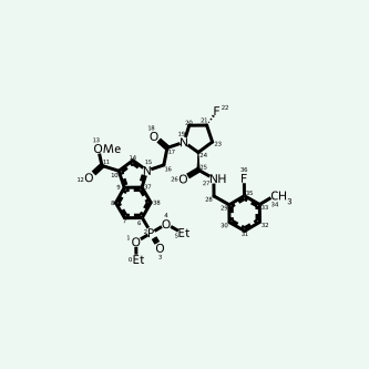 CCOP(=O)(OCC)c1ccc2c(C(=O)OC)cn(CC(=O)N3C[C@H](F)C[C@H]3C(=O)NCc3cccc(C)c3F)c2c1